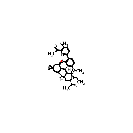 CCN1C(=O)[C@H]2[C@H](C[C@H]1C(C)C)OC1=C(C(=O)CC3(CC3)C1)[C@@H]2c1c(OC)ccc(-c2ccc(C)c(C(C)=O)n2)c1C